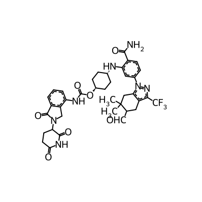 CC1(C)Cc2c(c(C(F)(F)F)nn2-c2ccc(C(N)=O)c(N[C@H]3CC[C@H](OC(=O)Nc4cccc5c4CN(C4CCC(=O)NC4=O)C5=O)CC3)c2)CC1C=O